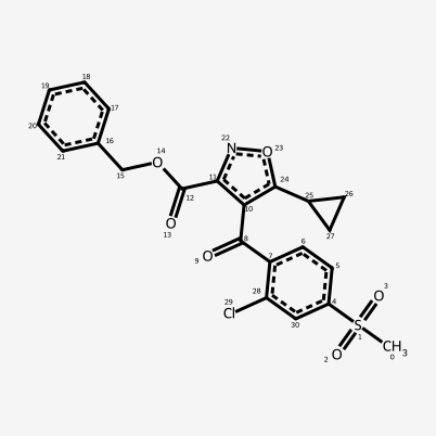 CS(=O)(=O)c1ccc(C(=O)c2c(C(=O)OCc3ccccc3)noc2C2CC2)c(Cl)c1